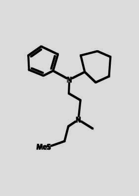 CSCCN(C)CCN(c1ccccc1)C1CCCCC1